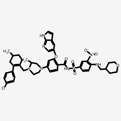 CC1CCC(CN2CCN(c3ccc(C(=O)NS(=O)(=O)c4ccc(NCC5CCOCC5)c([N+](=O)[O-])c4)c(Oc4cnc5[nH]ccc5c4)c3)CC2C)=C(c2ccc(Cl)cc2)C1